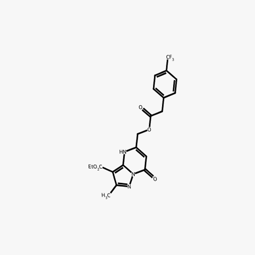 CCOC(=O)c1c(C)nn2c(=O)cc(COC(=O)Cc3ccc(C(F)(F)F)cc3)[nH]c12